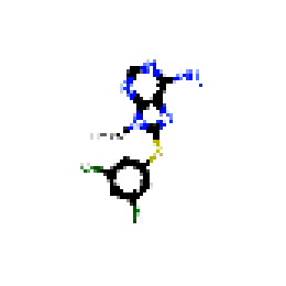 CCCCCCn1c(Sc2cc(Cl)cc(Cl)c2)nc2c(N)ncnc21